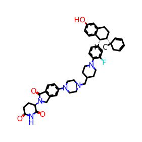 CC1([C@H]2CCc3cc(O)ccc3[C@H]2c2ccc(N3CCC(CN4CCN(c5ccc6c(c5)CN([C@@H]5CCC(=O)NC5=O)C6=O)CC4)CC3)c(F)c2)C=CC=CC1